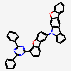 c1ccc(-c2nc(-c3ccccc3)nc(-c3cccc4c3oc3ccc(-n5c6ccccc6c6cc7c(cc65)oc5ccccc57)cc34)n2)cc1